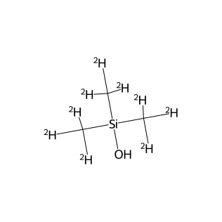 [2H]C([2H])([2H])[Si](O)(C([2H])([2H])[2H])C([2H])([2H])[2H]